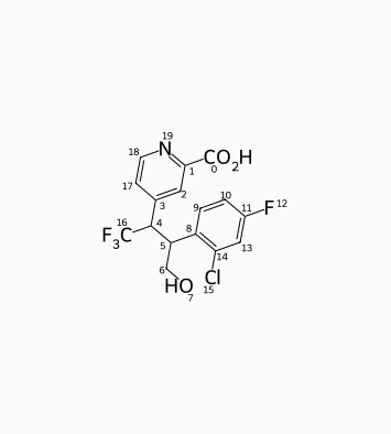 O=C(O)c1cc(C(C(CO)c2ccc(F)cc2Cl)C(F)(F)F)ccn1